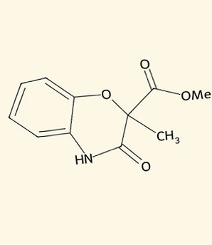 COC(=O)C1(C)Oc2ccccc2NC1=O